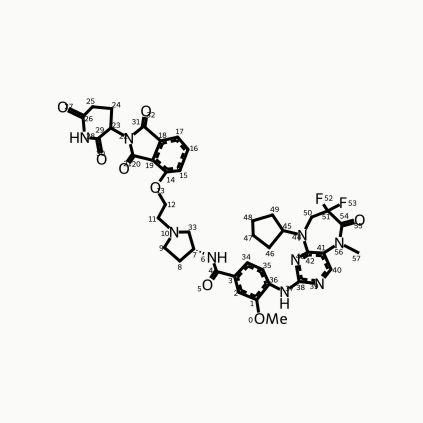 COc1cc(C(=O)N[C@@H]2CCN(CCOc3cccc4c3C(=O)N(C3CCC(=O)NC3=O)C4=O)C2)ccc1Nc1ncc2c(n1)N(C1CCCC1)CC(F)(F)C(=O)N2C